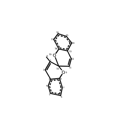 CC1=Cc2ccccc2OC12C=Cc1ccccc1O2